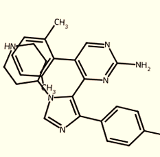 Cc1cccc(C)c1-c1cnc(N)nc1-c1c(-c2ccc(F)cc2)ncn1C1CCNCC1